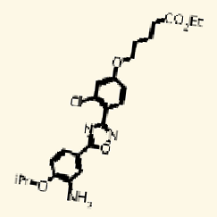 CCOC(=O)CCCCOc1ccc(-c2noc(-c3ccc(OC(C)C)c(N)c3)n2)c(Cl)c1